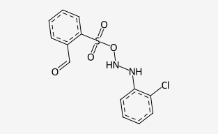 O=Cc1ccccc1S(=O)(=O)ONNc1ccccc1Cl